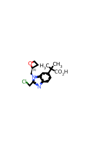 CC(C)(C(=O)O)c1ccc2nc(CCl)n(C[C@@H]3CCO3)c2c1